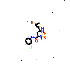 CN1C(C(=O)Nc2ccc(F)c(Cl)c2)CC(c2cc(Br)cs2)NS1(=O)=O